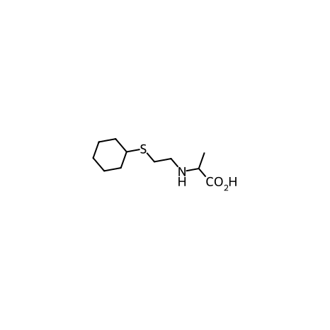 CC(NCCSC1CCCCC1)C(=O)O